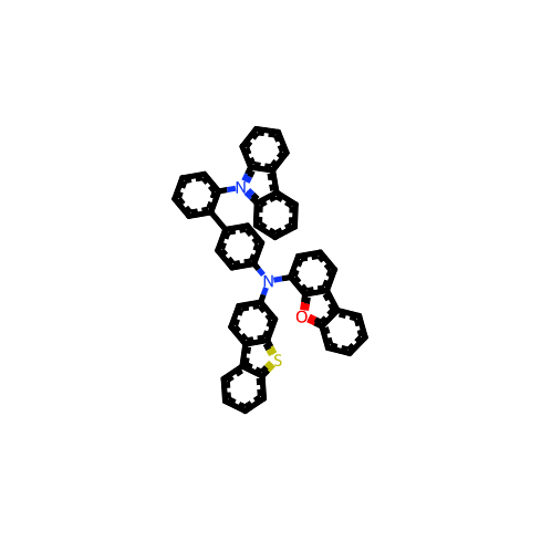 c1ccc(-n2c3ccccc3c3ccccc32)c(-c2ccc(N(c3ccc4c(c3)sc3ccccc34)c3cccc4c3oc3ccccc34)cc2)c1